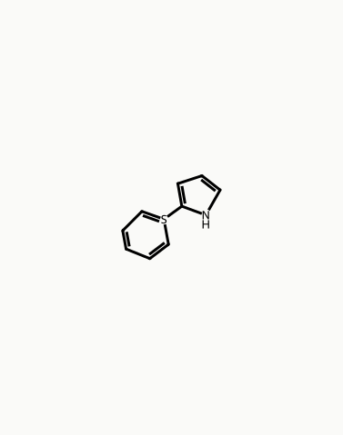 C1=CC=S(c2ccc[nH]2)C=C1